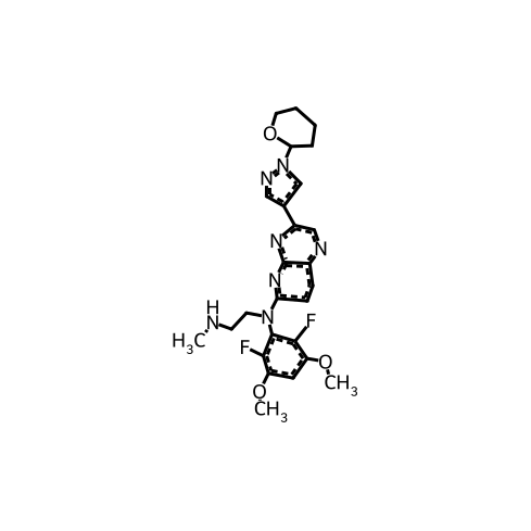 CNCCN(c1ccc2ncc(-c3cnn(C4CCCCO4)c3)nc2n1)c1c(F)c(OC)cc(OC)c1F